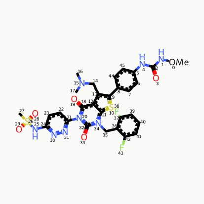 CONC(=O)Nc1ccc(-c2sc3c(c2CN(C)C)c(=O)n(-c2ccc(NS(C)(=O)=O)nn2)c(=O)n3Cc2c(F)cccc2F)cc1